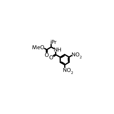 COC(=O)C(NC(=O)c1cc([N+](=O)[O-])cc([N+](=O)[O-])c1)C(C)C